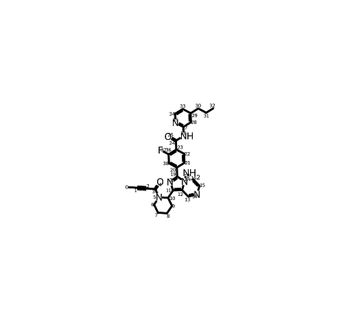 CC#CC(=O)N1CCCCC1C1=C2C=NC=C[N+]2(N)C(c2ccc(C(=O)Nc3cc(CCC)ccn3)c(F)c2)=N1